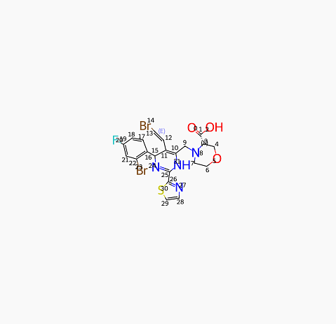 O=C(O)[C@@H]1COCCN1CC1=C(/C=C/Br)C(c2ccc(F)cc2Br)N=C(c2nccs2)N1